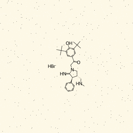 Br.CNC[C@H]1CN(CC(=O)c2cc(C(C)(C)C)c(O)c(C(C)(C)C)c2)C(=N)[C@@H]1c1ccccc1